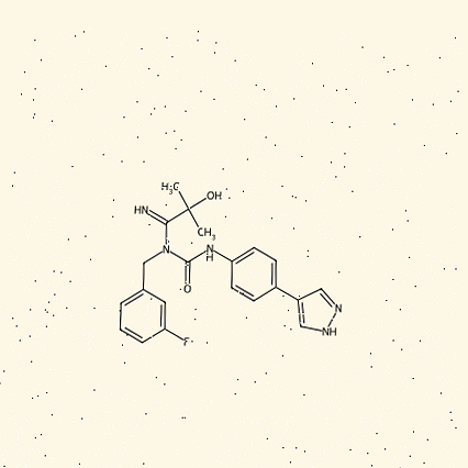 CC(C)(O)C(=N)N(Cc1cccc(F)c1)C(=O)Nc1ccc(-c2cn[nH]c2)cc1